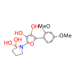 COc1ccc(-c2oc(N3CCCS3(O)O)c(O)c2O)c(OC)c1